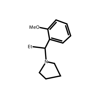 CCC(c1ccccc1OC)N1CCCC1